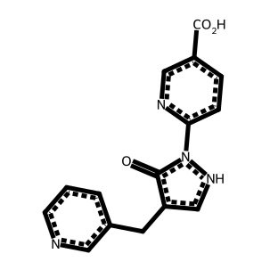 O=C(O)c1ccc(-n2[nH]cc(Cc3cccnc3)c2=O)nc1